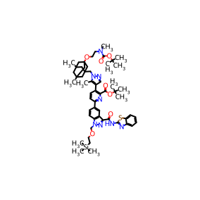 Cc1c(-c2ccc(-c3ccc4c(c3)c(C(=O)Nc3nc5ccccc5s3)nn4COCC[Si](C)(C)C)nc2C(=O)OC(C)(C)C)cnn1CC12CC3(C)CC(C)(C1)CC(OCCN(C)C(=O)OC(C)(C)C)(C3)C2